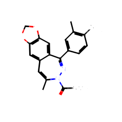 CNC(=O)N1N=C(c2ccc([N+](=O)[O-])c(C)c2)c2cc3c(cc2C=C1C)OCO3